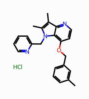 Cc1cccc(COc2ccnc3c(C)c(C)n(Cc4ccccn4)c23)c1.Cl